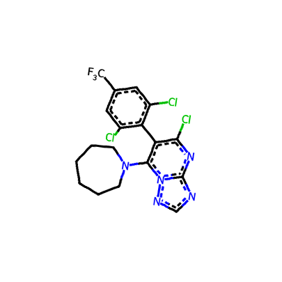 FC(F)(F)c1cc(Cl)c(-c2c(Cl)nc3ncnn3c2N2CCCCCC2)c(Cl)c1